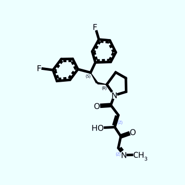 C/N=C\C(=O)/C(O)=C/C(=O)N1CCC[C@@H]1C[C@@H](c1ccc(F)cc1)c1cccc(F)c1